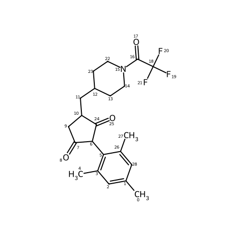 Cc1cc(C)c(C2C(=O)CC(CC3CCN(C(=O)C(F)(F)F)CC3)C2=O)c(C)c1